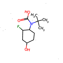 CC(C)(C)N(C(=O)O)C1CCC(O)CC1F